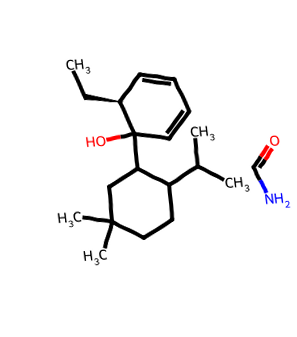 CC[C@H]1C=CC=CC1(O)C1CC(C)(C)CCC1C(C)C.NC=O